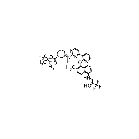 Cc1ccc2c(NC[C@H](O)C(F)(F)F)cccc2c1Oc1ncccc1-c1ccnc(N[C@@H]2CCCN(C(=O)OC(C)(C)C)C2)n1